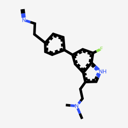 C=NCCc1ccc(-c2cc(F)c3[nH]cc(CCN(C)C)c3c2)cc1